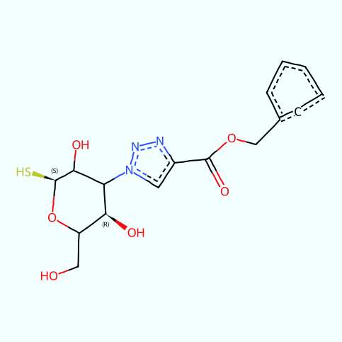 O=C(OCc1ccccc1)c1cn(C2C(O)[C@H](S)OC(CO)[C@@H]2O)nn1